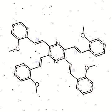 COc1ccccc1/C=C/c1nc(/C=C/c2ccccc2OC)c(/C=C/c2ccccc2OC)nc1/C=C/c1ccccc1OC